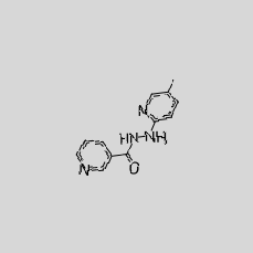 Cc1ccc(NNC(=O)c2cccnc2)nc1